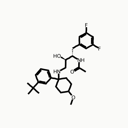 COC1CCC(NC[C@@H](O)[C@H](Cc2cc(F)cc(F)c2)NC(C)=O)(c2cccc(C(C)(C)C)c2)CC1